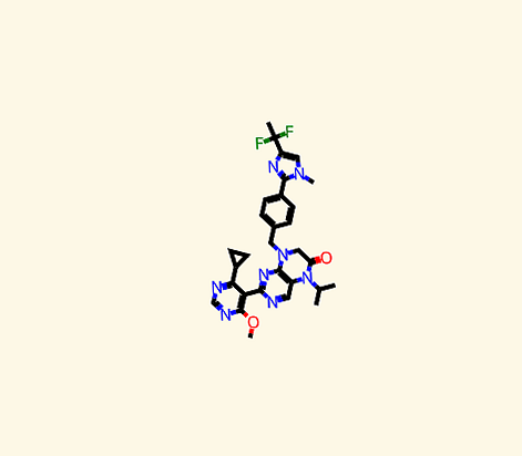 COc1ncnc(C2CC2)c1-c1ncc2c(n1)N(Cc1ccc(-c3nc(C(C)(F)F)cn3C)cc1)CC(=O)N2C(C)C